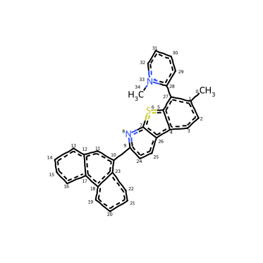 Cc1ccc2c(sc3nc(-c4cc5ccccc5c5ccccc45)ccc32)c1-c1cccc[n+]1C